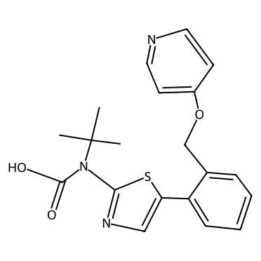 CC(C)(C)N(C(=O)O)c1ncc(-c2ccccc2COc2ccncc2)s1